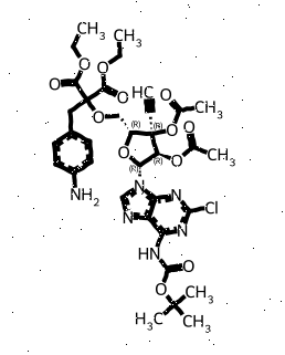 C#C[C@@]1(OC(C)=O)[C@@H](COC(Cc2ccc(N)cc2)(C(=O)OCC)C(=O)OCC)O[C@@H](n2cnc3c(NC(=O)OC(C)(C)C)nc(Cl)nc32)[C@@H]1OC(C)=O